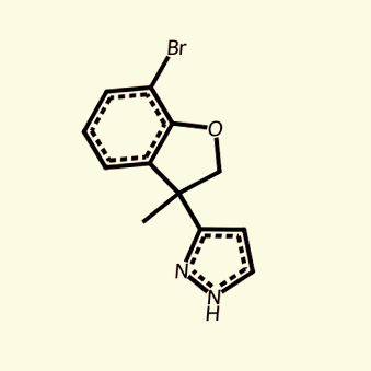 CC1(c2cc[nH]n2)COc2c(Br)cccc21